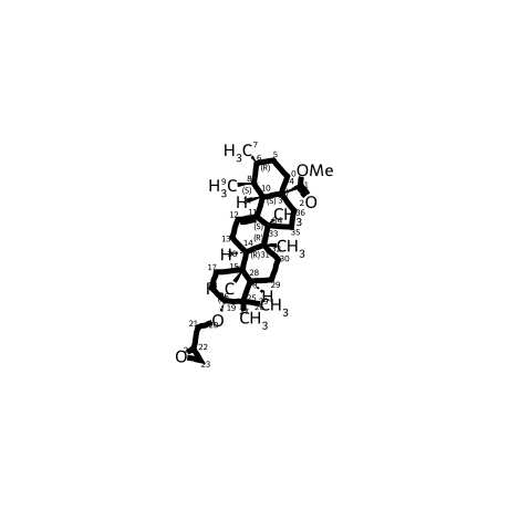 COC(=O)[C@]12CC[C@@H](C)[C@H](C)[C@H]1C1=CC[C@@H]3[C@@]4(C)CC[C@@H](OCC5CO5)C(C)(C)[C@@H]4CC[C@@]3(C)[C@]1(C)CC2